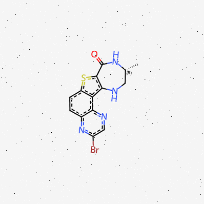 C[C@@H]1CNc2c(sc3ccc4nc(Br)cnc4c23)C(=O)N1